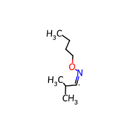 CCCCO/N=[C]\C(C)C